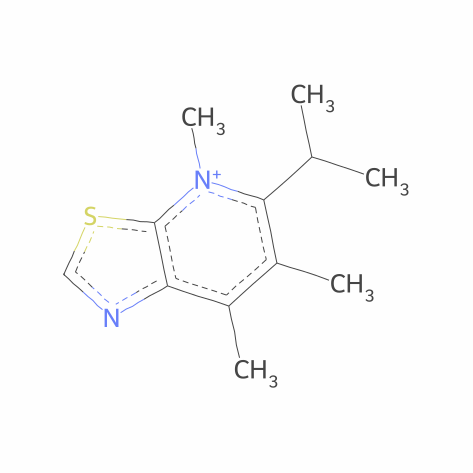 Cc1c(C)c2ncsc2[n+](C)c1C(C)C